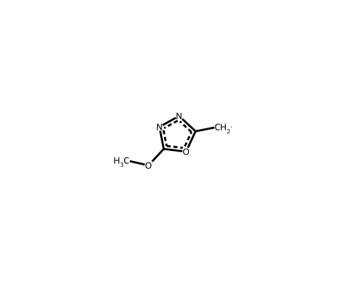 [CH2]c1nnc(OC)o1